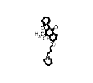 CC1(C)c2cc(OCCCN3CCCCC3)ccc2C(=O)c2c1oc1c2=CCCC=1